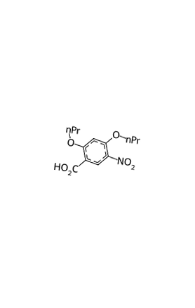 CCCOc1cc(OCCC)c([N+](=O)[O-])cc1C(=O)O